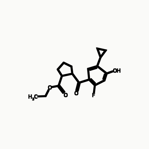 CCOC(=O)C1CCCC1C(=O)c1cc(C2CC2)c(O)cc1F